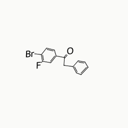 O=C(Cc1ccccc1)c1ccc(Br)c(F)c1